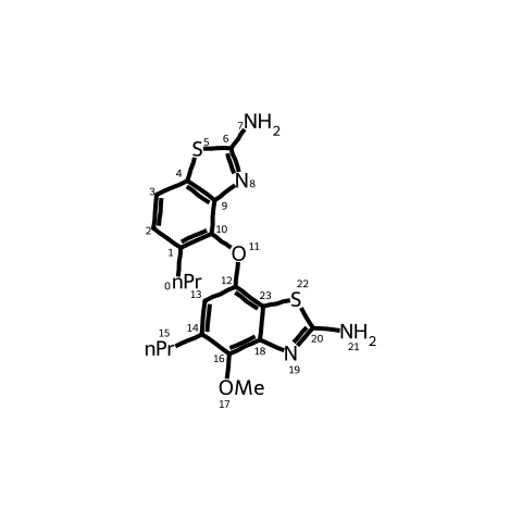 CCCc1ccc2sc(N)nc2c1Oc1cc(CCC)c(OC)c2nc(N)sc12